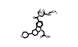 CCNC(=O)CN(CC)C(=O)c1ccc2c(c1)C1CC(C3CCOCC3)CCC1N2CC(=O)O